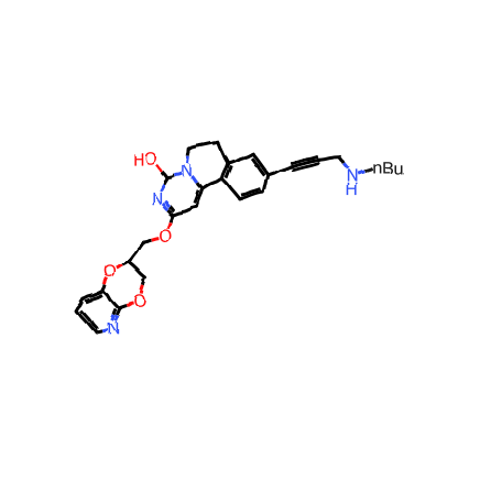 CCCCNCC#Cc1ccc2c(c1)CCN1C2=CC(OCC2COc3ncccc3O2)=NC1O